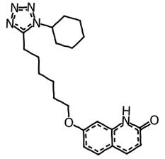 O=c1ccc2ccc(OCCCCCCc3nnnn3C3CCCCC3)cc2[nH]1